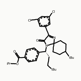 CC(C)OC(=O)c1ccc([C@@H](CCC(C)(C)C)N2C(=O)C(c3cc(Cl)cc(Cl)c3)=NC23CCC(C(C)(C)C)CC3)cc1